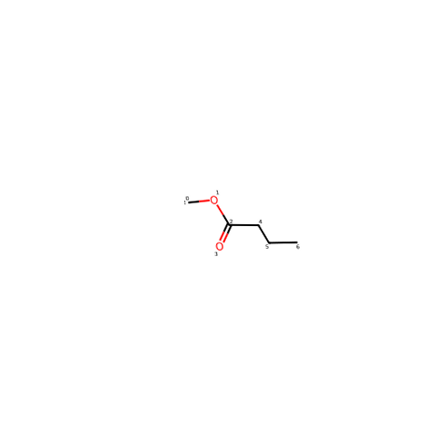 [CH]OC(=O)CCC